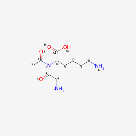 CC(=O)N(C(=O)CN)C(CCCCN)C(=O)O